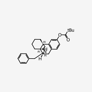 CC(C)(C)C(=O)Oc1ccc2c(c1)[C@@]13CCCC[C@H]1[C@@H](C2)N(Cc1ccccc1)CC3